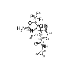 CC1([C@]2(CF)C[C@@H](C(F)(F)F)OC(N)=N2)CC(C(=O)NC2CC2)=CC=C1F